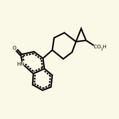 O=C(O)C1CC12CCC(c1cc(=O)[nH]c3ccccc13)CC2